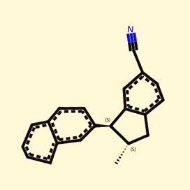 C[C@H]1Cc2ccc(C#N)cc2[C@@H]1c1ccc2ccccc2c1